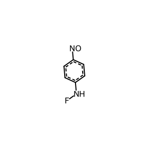 O=Nc1ccc(NF)cc1